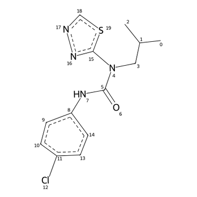 CC(C)CN(C(=O)Nc1ccc(Cl)cc1)c1nncs1